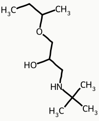 CCC(C)OCC(O)CNC(C)(C)C